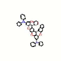 c1ccc(N(c2ccccc2)c2cc3c4c(c2)Oc2cc5ccccc5cc2B4c2cc4c(cc2O3)Oc2cc(N(c3ccccc3)c3ccccc3)cc3c2B4c2cc4ccccc4cc2O3)cc1